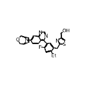 CCc1cc(F)c(-c2ncnc3cc(N4C5CCC4COC5)ccc23)cc1Cc1nc(CO)cs1